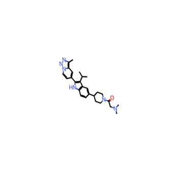 Cc1nnn2ccc(-c3[nH]c4ccc(C5CCN(C(=O)CN(C)C)CC5)cc4c3C(C)C)cc12